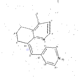 Cc1ccnc2c1CCC/C2=C/c1ccncc1